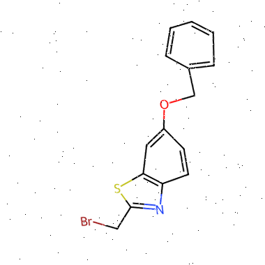 BrCc1nc2ccc(OCc3ccccc3)cc2s1